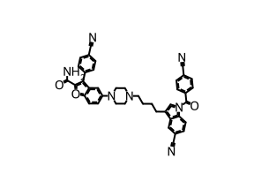 N#Cc1ccc(C(=O)n2cc(CCCCN3CCN(c4ccc5oc(C(N)=O)c(-c6ccc(C#N)cc6)c5c4)CC3)c3cc(C#N)ccc32)cc1